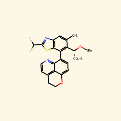 Cc1cc2nc(C(F)F)sc2c(-c2ccc3c4c(ccnc24)CCO3)c1[C@H](OC(C)(C)C)C(=O)O